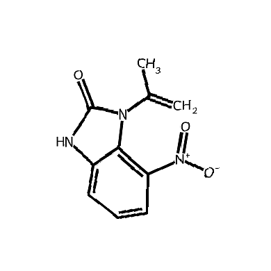 C=C(C)n1c(=O)[nH]c2cccc([N+](=O)[O-])c21